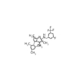 Cc1cc(C)c(-c2cn(C)c3nc(NCc4cc(F)cc(C(F)(F)F)c4)n(C)c(=O)c23)c(C)c1